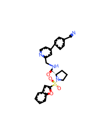 N#Cc1ccc(-c2ccnc(CNC(=O)[C@@H]3CCCN3S(=O)(=O)c3cc4ccccc4o3)c2)cc1